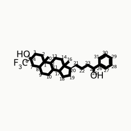 CC12CC[C@@](O)(C(F)(F)F)CC1CCC1C2CCC2(C)C1CC[C@@H]2CCCC(O)c1ccccc1